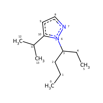 CCCC(CC)n1nccc1C(C)C